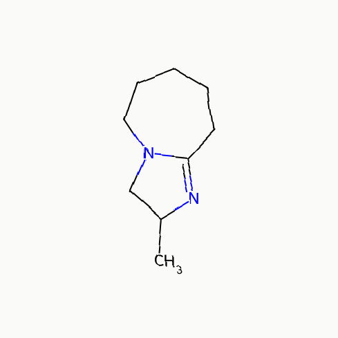 CC1CN2CCCCCC2=N1